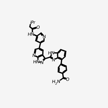 CC(C)CC(=O)Nc1cncc(-c2cnc3[nH]nc(-c4nc5c(-c6ccc(C(N)=O)cc6)cccc5[nH]4)c3c2)c1